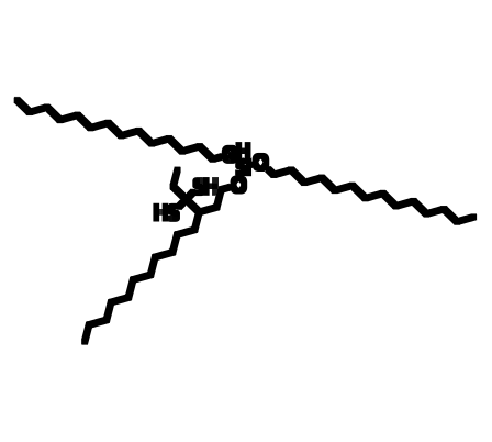 CCCCCCCCCCCCCCO[SiH](OCCCCCCCCCCCCCC)OCCC(CCCCCCCCCCC)C(S)(S)CC